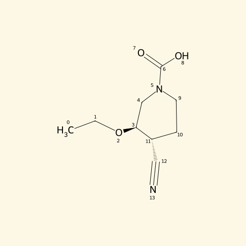 CCO[C@H]1CN(C(=O)O)CC[C@@H]1C#N